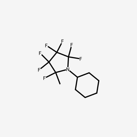 CC1(F)N(C2CCCCC2)C(F)(F)C(F)(F)C1(F)F